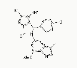 COc1cc(N2C(=O)c3nc(Br)n(C(C)C)c3C2c2ccc(Cl)cc2)cn2c(C)nnc12